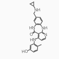 Cc1ccc(O)cc1Nc1ccnc2c1C(=O)Nc1cc(CNC3CC3)ccc1N2